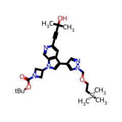 CC(C)(O)C#Cc1cc2c(-c3cnn(COCC[Si](C)(C)C)c3)cn(C3CN(C(=O)OC(C)(C)C)C3)c2cn1